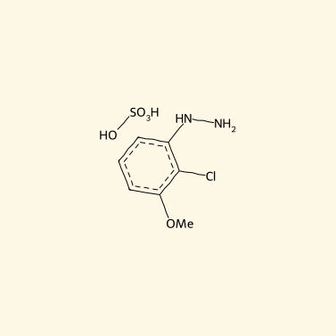 COc1cccc(NN)c1Cl.O=S(=O)(O)O